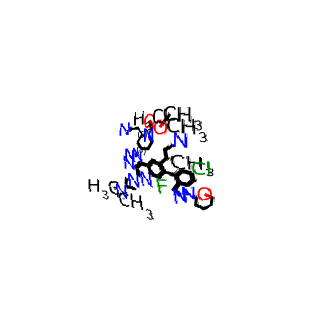 Cc1c(Cl)cc2c(cnn2C2CCCCO2)c1-c1c(CCC#N)cc2c(nc(N3CC(N(C)C)C3)c3nnn([C@H]4CCN(C(=O)OC(C)(C)C)[C@H](CC#N)C4)c32)c1F